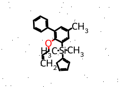 C=CCOc1c(-c2ccccc2)cc(C)cc1[Si](C)(C)C1=CC=CC1